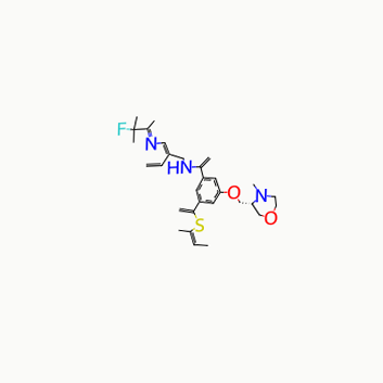 C=C/C(=C\N=C(/C)C(C)(C)F)CNC(=C)c1cc(OC[C@H]2COCCN2C)cc(C(=C)S/C(C)=C\C)c1